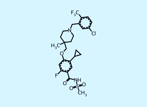 CC1(COc2cc(F)c(C(=O)NS(C)(=O)=O)cc2C2CC2)CCN(Cc2cc(Cl)ccc2C(F)(F)F)CC1